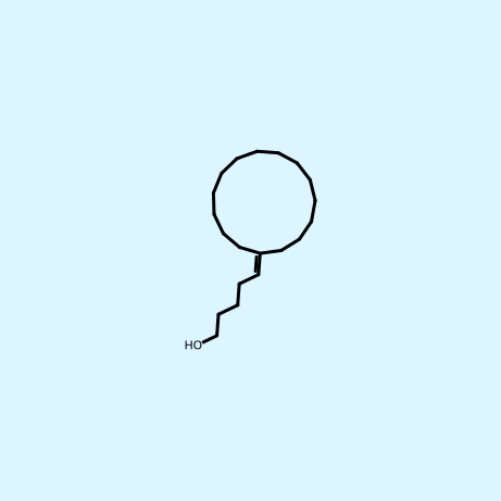 OCCCCC=C1CCCCCCCCCCCCCC1